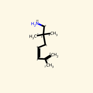 C=C(C)/C=C\CC(C)(C)CN